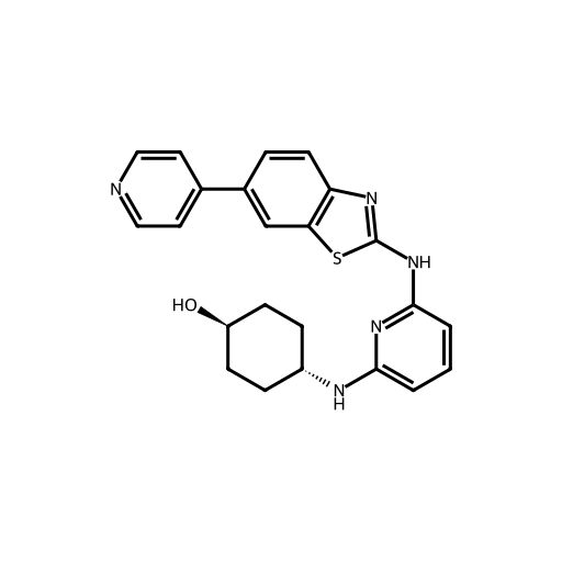 O[C@H]1CC[C@H](Nc2cccc(Nc3nc4ccc(-c5ccncc5)cc4s3)n2)CC1